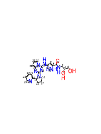 O=C(NC[C@H](O)CO)c1cc(Nc2nc(N3CCCC3c3ccccn3)nc3cccn23)n[nH]1